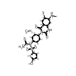 CNc1cc2[nH]c(=O)n(-c3ccc(N(C(N)=O)S(=O)(=O)c4ccc(Cl)s4)cc3)c(=O)c2cc1F.[CaH2]